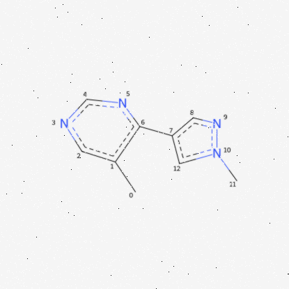 Cc1cncnc1-c1cnn(C)c1